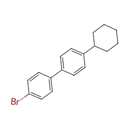 Brc1ccc(-c2ccc(C3CCCCC3)cc2)cc1